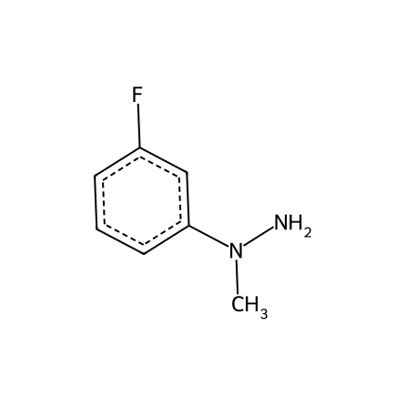 CN(N)c1cccc(F)c1